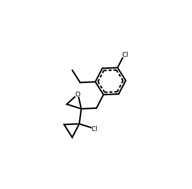 CCc1cc(Cl)ccc1CC1(C2(Cl)CC2)CO1